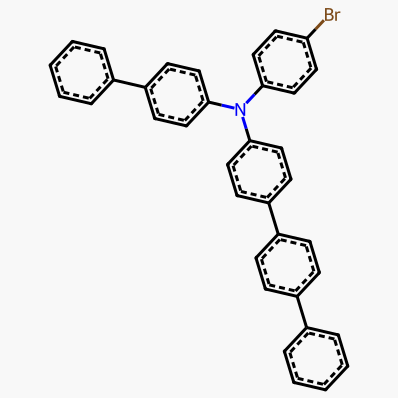 Brc1ccc(N(c2ccc(-c3ccccc3)cc2)c2ccc(-c3ccc(-c4ccccc4)cc3)cc2)cc1